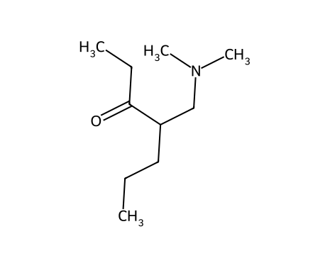 CCCC(CN(C)C)C(=O)CC